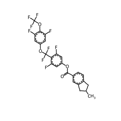 CC1Cc2ccc(C(=O)Oc3cc(F)c(C(F)(F)Oc4cc(F)c(OC(F)(F)F)c(F)c4)c(F)c3)cc2C1